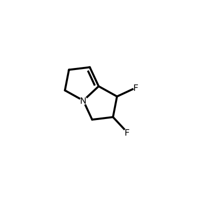 FC1CN2CCC=C2C1F